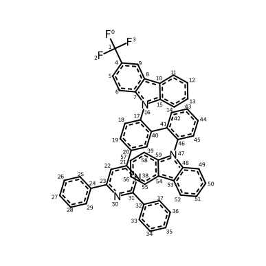 FC(F)(F)c1ccc2c(c1)c1ccccc1n2-c1ccc(-c2cc(-c3ccccc3)nc(-c3ccccc3)n2)cc1-c1ccccc1-n1c2ccccc2c2ccccc21